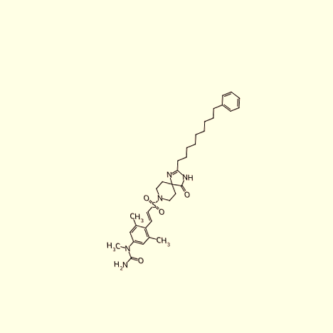 Cc1cc(N(C)C(N)=O)cc(C)c1C=CS(=O)(=O)N1CCC2(CC1)N=C(CCCCCCCCCc1ccccc1)NC2=O